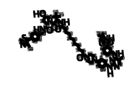 Cc1cnc(Nc2ccc(N3CCN(C(=O)CCCCCCCCCC(=O)NC(C(=O)N4C[C@H](O)C[C@H]4C(=O)NCc4ccc(-c5scnc5C)cc4)C(C)(C)C)CC3)cc2)nc1Nc1cccc(S(=O)(=O)NC(C)(C)C)c1